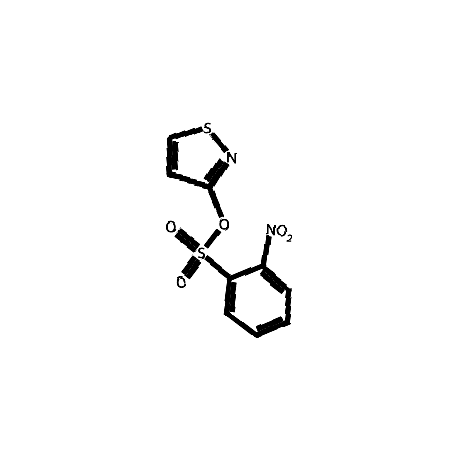 O=[N+]([O-])c1ccccc1S(=O)(=O)Oc1ccsn1